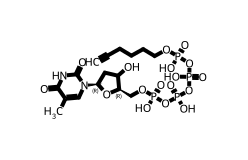 C#CCCCCOP(=O)(O)OP(=O)(O)OP(=O)(O)OP(=O)(O)OC[C@H]1O[C@@H](n2cc(C)c(=O)[nH]c2=O)CC1O